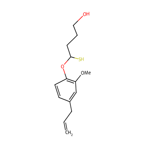 C=CCc1ccc(OC(S)CCCO)c(OC)c1